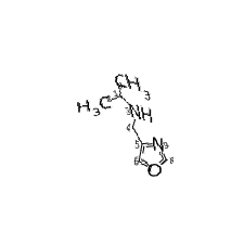 CC(C)NCc1cocn1